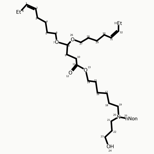 CC/C=C\CCCCOC(CCC(=O)OCCCCCCN(CCCO)CCCCCCCCC)OCCCC/C=C\CC